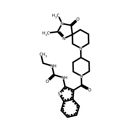 CCNC(=O)Nc1sc2ccccc2c1C(=O)N1CCC(N2CCCC3(C2)N=C(C)N(C)C3=O)CC1